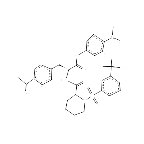 CC(O)c1ccc(C[C@H](NC(=O)[C@@H]2CCCCN2S(=O)(=O)c2cccc(C(F)(F)F)c2)C(=O)Nc2ccc(N(C)C)cc2)cc1